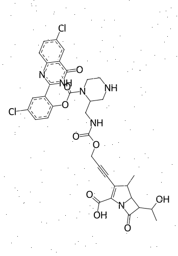 CC(O)C1C(=O)N2C(C(=O)O)=C(C#CCOC(=O)NCC3CNCCN3C(=O)Oc3ccc(Cl)cc3-c3nc4ccc(Cl)cc4c(=O)[nH]3)C(C)C12